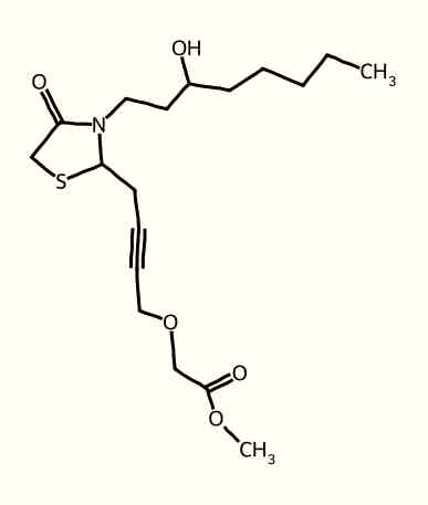 CCCCCC(O)CCN1C(=O)CSC1CC#CCOCC(=O)OC